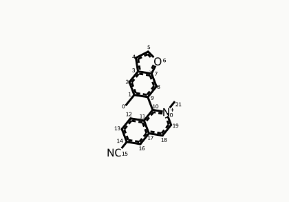 Cc1cc2ccoc2cc1-c1c2ccc(C#N)cc2cc[n+]1C